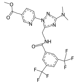 COC(=O)c1ccc(-n2nc(N(C)C)nc2CNC(=O)c2cc(C(F)(F)F)cc(C(F)(F)F)c2)nc1